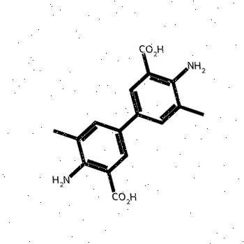 Cc1cc(-c2cc(C)c(N)c(C(=O)O)c2)cc(C(=O)O)c1N